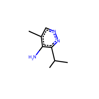 Cc1cnnc(C(C)C)c1N